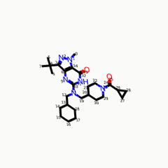 Cn1nc(C(C)(C)C)c2nc(N(CC3CCCCC3)CC3CCN(C(=O)C4CC4)CC3)[nH]c(=O)c21